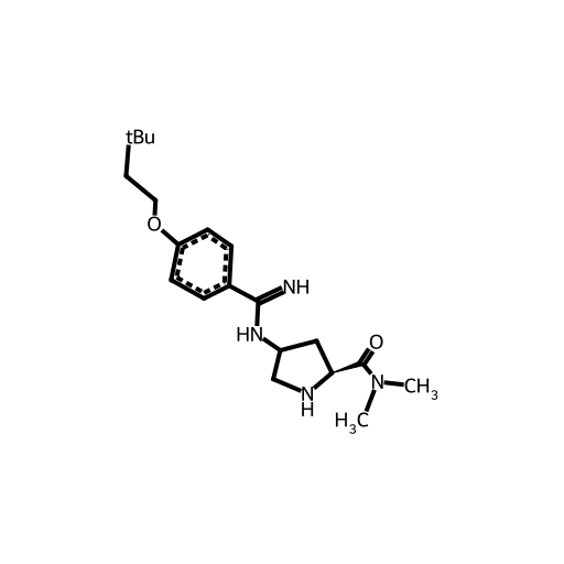 CN(C)C(=O)[C@@H]1CC(NC(=N)c2ccc(OCCC(C)(C)C)cc2)CN1